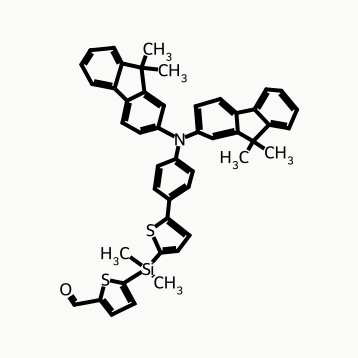 CC1(C)c2ccccc2-c2ccc(N(c3ccc(-c4ccc([Si](C)(C)c5ccc(C=O)s5)s4)cc3)c3ccc4c(c3)C(C)(C)c3ccccc3-4)cc21